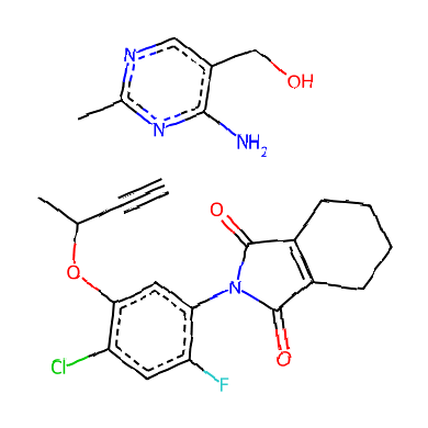 C#CC(C)Oc1cc(N2C(=O)C3=C(CCCC3)C2=O)c(F)cc1Cl.Cc1ncc(CO)c(N)n1